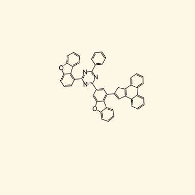 C1=C(c2cc(-c3nc(-c4ccccc4)nc(-c4cccc5oc6ccccc6c45)n3)cc3oc4ccccc4c23)Cc2c1c1ccccc1c1ccccc21